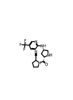 N#CC1CCCN1C(=O)[C@@H]1C[C@H](Nc2ccc(C(F)(F)F)cn2)CN1